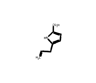 C=CCc1ccc(C(=O)O)[nH]1